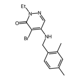 CCn1ncc(NCc2ccc(C)cc2C)c(Br)c1=O